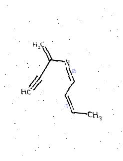 C#CC(=C)/N=C\C=C/C